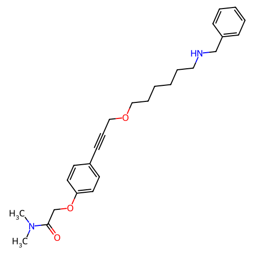 CN(C)C(=O)COc1ccc(C#CCOCCCCCCNCc2ccccc2)cc1